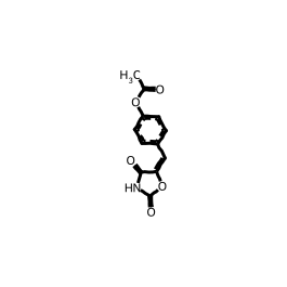 CC(=O)Oc1ccc(C=C2OC(=O)NC2=O)cc1